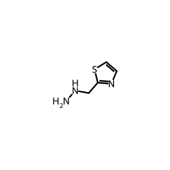 NNCc1nccs1